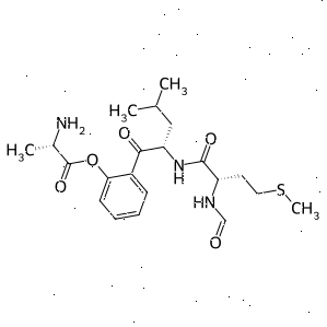 CSCC[C@H](NC=O)C(=O)N[C@@H](CC(C)C)C(=O)c1ccccc1OC(=O)[C@H](C)N